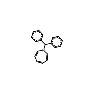 C1=CC=CN(C(c2ccccc2)c2ccccc2)C=C1